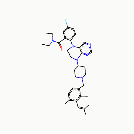 CCN(CC)C(=O)c1cc(F)ccc1N1CCN(C2CCN(Cc3ccc(C)c(C=C(C)C)c3C)CC2)c2ncncc21